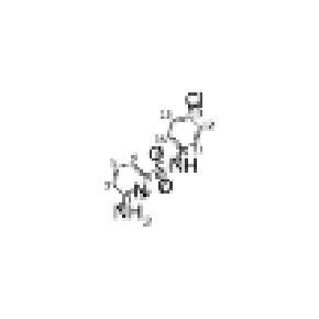 Nc1cccc(S(=O)(=O)Nc2ccc(Cl)cc2)n1